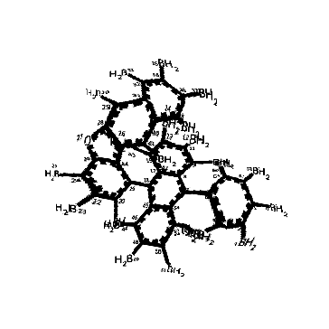 Bc1c(B)c(B)c(-c2c3c(B)c(B)c(B)c(B)c3c(-c3c(B)c(B)c(B)c4oc5c(B)c6c(B)c(B)c(B)c(B)c6c(B)c5c34)c3c(B)c(B)c(B)c(B)c23)c(B)c1B